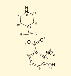 CC(C)(OC(=O)c1cccc(O)c1[N+](=O)[O-])C1CCNCC1